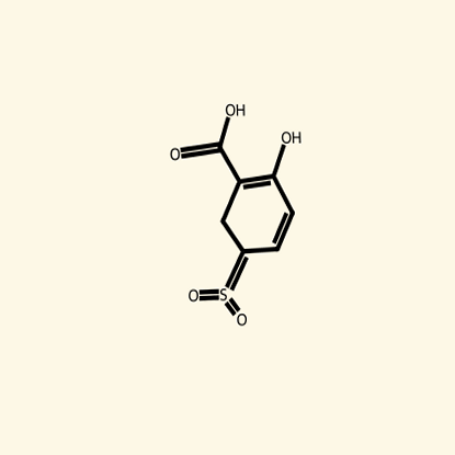 O=C(O)C1=C(O)C=CC(=S(=O)=O)C1